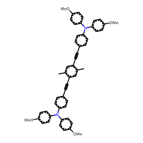 COc1ccc(N(c2ccc(C#Cc3cc(C)c(C#Cc4ccc(N(c5ccc(OC)cc5)c5ccc(OC)cc5)cc4)cc3C)cc2)c2ccc(OC)cc2)cc1